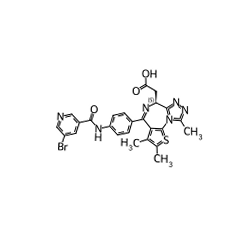 Cc1sc2c(c1C)C(c1ccc(NC(=O)c3cncc(Br)c3)cc1)=N[C@@H](CC(=O)O)c1nnc(C)n1-2